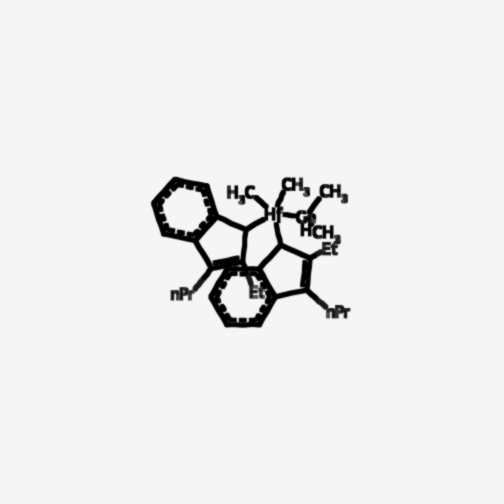 CCCC1=C(CC)[CH]([Hf]([CH3])([CH3])([CH]2C(CC)=C(CCC)c3ccccc32)[GeH]([CH3])[CH3])c2ccccc21